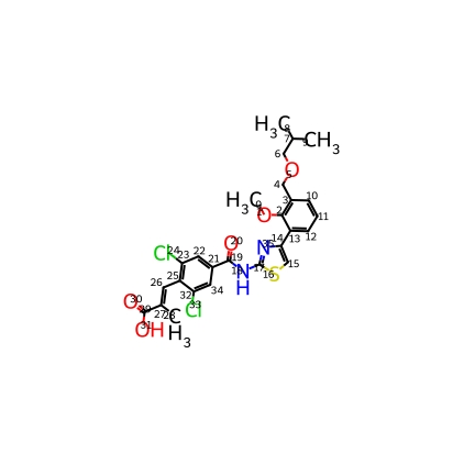 COc1c(COCC(C)C)cccc1-c1csc(NC(=O)c2cc(Cl)c(C=C(C)C(=O)O)c(Cl)c2)n1